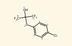 OC(Oc1ccc(Cl)cc1)(C(F)(F)F)C(F)(F)F